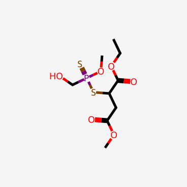 CCOC(=O)C(CC(=O)OC)SP(=S)(CO)OC